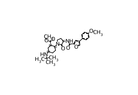 COC(=O)[C@@H]1C[C@H](NC(C)(C)C)CC[C@@H]1N1CC[C@H](NC(=O)c2cc(-c3ccc(OC)cc3)co2)C1=O